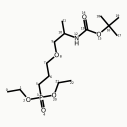 CCOP(=O)(CCCOCC(C)NC(=O)OC(C)(C)C)OCC